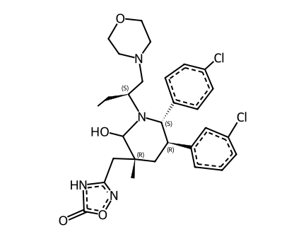 CC[C@@H](CN1CCOCC1)N1C(O)[C@@](C)(Cc2noc(=O)[nH]2)C[C@H](c2cccc(Cl)c2)[C@H]1c1ccc(Cl)cc1